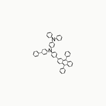 C1=CC(c2ccccc2)CC=C1N(c1ccc(-c2ccc3c(-c4ccccc4)c4ccccc4c(-c4ccccc4)c3c2)cc1)c1ccc(N(c2ccccc2)c2ccccc2)cc1